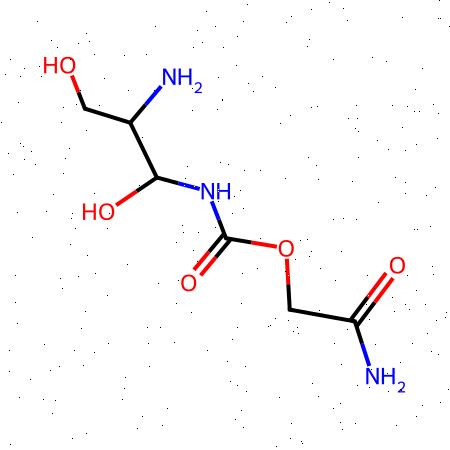 NC(=O)COC(=O)NC(O)C(N)CO